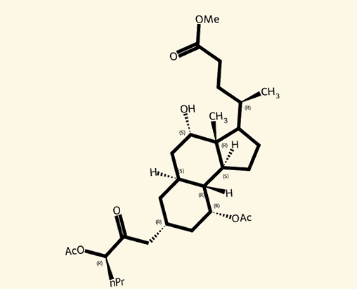 CCC[C@@H](OC(C)=O)C(=O)C[C@@H]1C[C@H]2C[C@H](O)[C@]3(C)C([C@H](C)CCC(=O)OC)CC[C@H]3[C@@H]2[C@H](OC(C)=O)C1